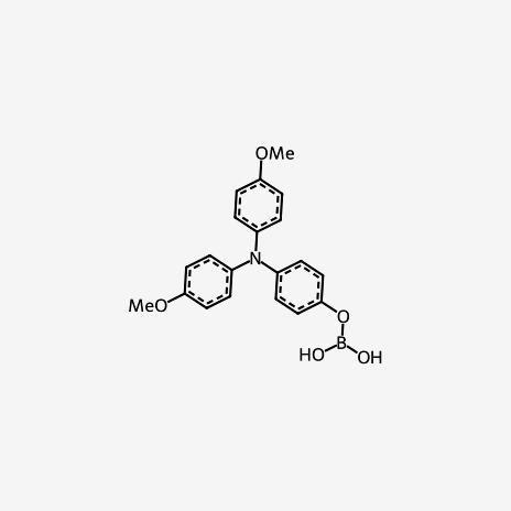 COc1ccc(N(c2ccc(OC)cc2)c2ccc(OB(O)O)cc2)cc1